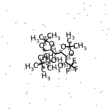 CC1(C)O[C@@H]([C@H](O[Si](C)(C)C(C)(C)C)[C@H]2COC(C)(C)O2)[C@@H]([C@@H](O)C(F)(F)F)O1